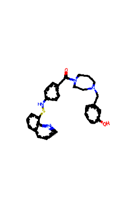 O=C(c1ccc(NSc2cccc3cccnc23)cc1)N1CCCN(Cc2cccc(O)c2)CC1